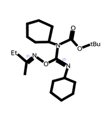 CC/C(C)=N/O/C(=N\C1CCCCC1)N(C(=O)OC(C)(C)C)C1CCCCC1